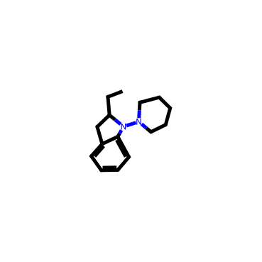 CCC1Cc2ccccc2N1N1CCCCC1